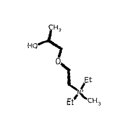 CC[N+](C)(CC)CCOCC(C)O